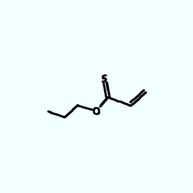 C=CC(=S)OCCC